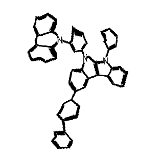 C1=CC(c2ccc3c(c2)c2c4ccccc4n(-c4ccccc4)c2n3-c2cccc(-n3c4ccccc4c4ccccc43)c2)CC=C1c1ccccc1